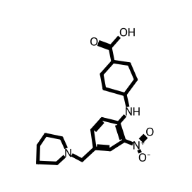 O=C(O)C1CCC(Nc2ccc(CN3CCCCC3)cc2[N+](=O)[O-])CC1